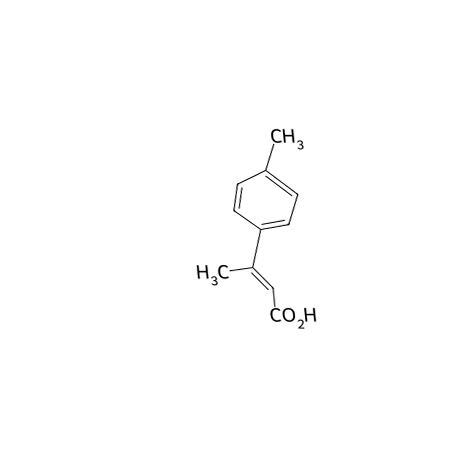 CC(=CC(=O)O)c1ccc(C)cc1